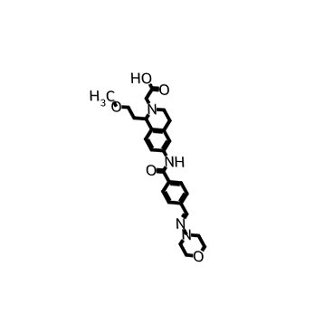 COCCC1c2ccc(NC(=O)c3ccc(C=NN4CCOCC4)cc3)cc2CCN1CC(=O)O